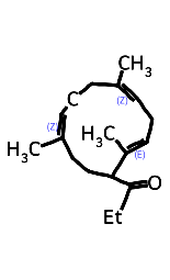 CCC(=O)C1CC/C(C)=C\CC/C(C)=C\C/C=C/1C